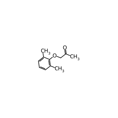 CC(=O)COc1c(C)cccc1C